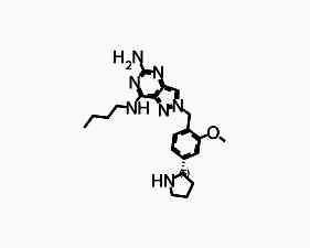 CCCCNc1nc(N)nc2cn(Cc3ccc([C@@H]4CCCN4)cc3OC)nc12